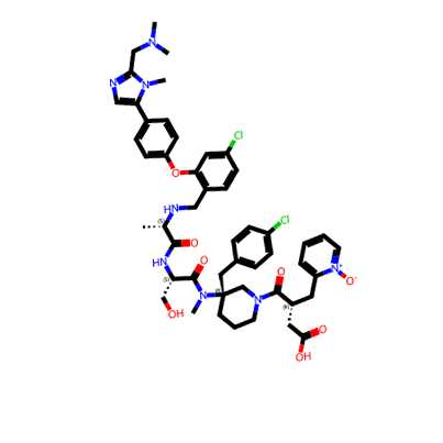 C[C@H](NCc1ccc(Cl)cc1Oc1ccc(-c2cnc(CN(C)C)n2C)cc1)C(=O)N[C@@H](CO)C(=O)N(C)[C@@]1(Cc2ccc(Cl)cc2)CCCN(C(=O)[C@@H](CC(=O)O)Cc2cccc[n+]2[O-])C1